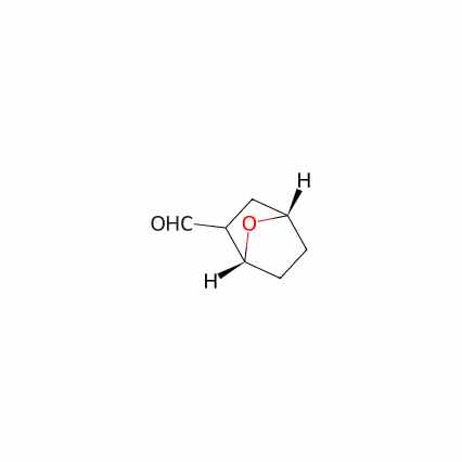 O=CC1C[C@@H]2CC[C@H]1O2